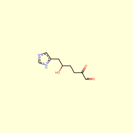 O=CC(=O)CCC(O)Cc1cnc[nH]1